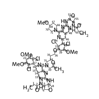 C=CC(=O)N[C@H]1COC[C@H]1Nc1ncc2cc(-c3c(Cl)c(OC)cc(OC)c3Cl)nc(N3CC(C)OC(CCOc4cc(OC)c(Cl)c(-c5cc6cnc(N[C@@H]7COC[C@@H]7NC(=O)C=C)nc6c(N6CCC(OC)CC6)n5)c4Cl)C3)c2n1